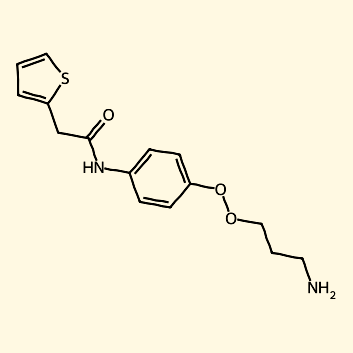 NCCCOOc1ccc(NC(=O)Cc2cccs2)cc1